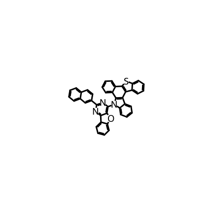 c1ccc2cc(-c3nc(-n4c5ccccc5c5c6c7ccccc7sc6c6ccccc6c54)c4oc5ccccc5c4n3)ccc2c1